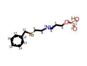 O=[SH](=O)OCCCNCCSCc1ccccc1